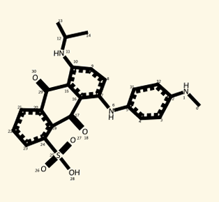 CNc1ccc(Nc2ccc(NC(C)C)c3c2C(=O)c2c(cccc2S(=O)(=O)O)C3=O)cc1